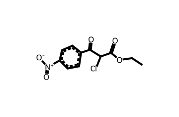 CCOC(=O)C(Cl)C(=O)c1ccc([N+](=O)[O-])cc1